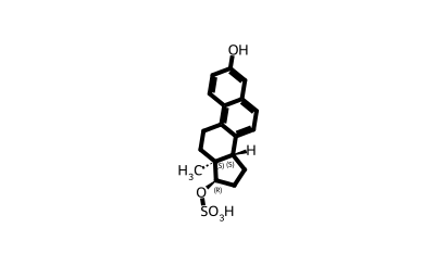 C[C@]12CCc3c(ccc4cc(O)ccc34)[C@@H]1CC[C@H]2OS(=O)(=O)O